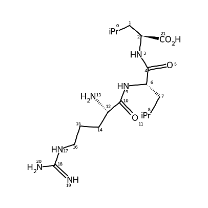 CC(C)C[C@H](NC(=O)[C@H](CC(C)C)NC(=O)[C@@H](N)CCCNC(=N)N)C(=O)O